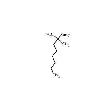 CCCCCCC(C)(C)[C]=O